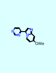 COc1ccn2c(-c3ccncn3)cnc2c1